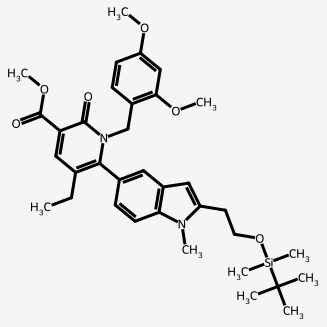 CCc1cc(C(=O)OC)c(=O)n(Cc2ccc(OC)cc2OC)c1-c1ccc2c(c1)cc(CCO[Si](C)(C)C(C)(C)C)n2C